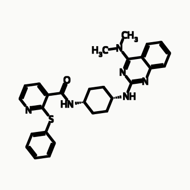 CN(C)c1nc(N[C@H]2CC[C@@H](NC(=O)c3cccnc3Sc3ccccc3)CC2)nc2ccccc12